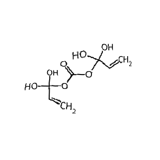 C=CC(O)(O)OC(=O)OC(O)(O)C=C